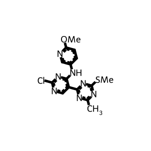 COc1ccc(Nc2nc(Cl)ncc2-c2nc(C)nc(SC)n2)cn1